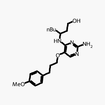 CCCCC(CCO)Nc1nc(N)ncc1OCCCc1ccc(OC)cc1